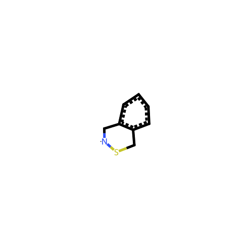 c1ccc2c(c1)C[N]SC2